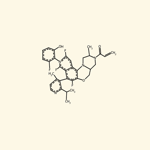 C=CC(=O)N1CC2COc3c(F)c(-c4c(C)ccnc4C(C)C)c4c(F)[n+](-c5c(O)cccc5F)c(F)cc4c3N2CC1C